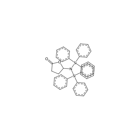 O=C1CCC(N([Si](c2ccccc2)(c2ccccc2)c2ccccc2)[Si](c2ccccc2)(c2ccccc2)c2ccccc2)O1